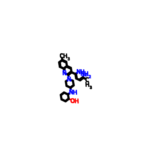 C/C(N)=C/C=C(\N)c1cc2cc(C)ccc2nc1N1CCC(NC2CCCC[C@@H]2O)CC1